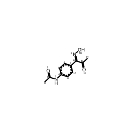 CC(=O)Nc1ccc(/C(=N/O)C(C)=O)cc1